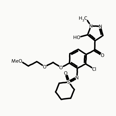 COCCOCOc1ccc(C(=O)c2cnn(C)c2O)c(Cl)c1N=S1(=O)CCCCC1